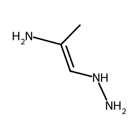 C/C(N)=C\NN